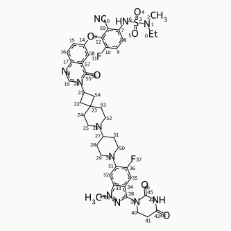 CCN(C)S(=O)(=O)Nc1ccc(F)c(Oc2ccc3ncn(C4CC5(CCN(C6CCN(c7cc8c(cc7F)c(N7CCC(=O)NC7=O)nn8C)CC6)CC5)C4)c(=O)c3c2)c1C#N